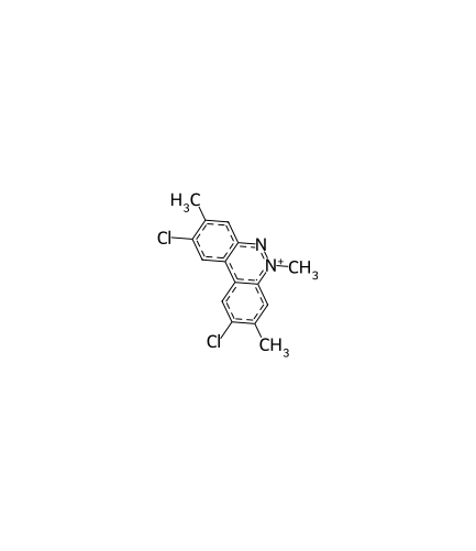 Cc1cc2n[n+](C)c3cc(C)c(Cl)cc3c2cc1Cl